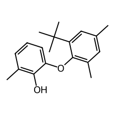 Cc1cc(C)c(Oc2cccc(C)c2O)c(C(C)(C)C)c1